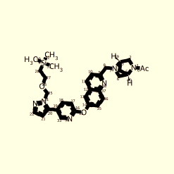 CC(=O)N1C[C@H]2C[C@@H]1CN2Cc1ccc2cc(Oc3ccc(-c4ccnn4COCC[Si](C)(C)C)cn3)ccc2n1